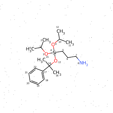 CC(C)O[Si](CCCN)(OC(C)C)OC(C)(C)c1ccccc1